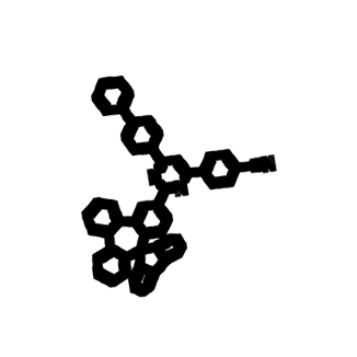 N#Cc1ccc(-c2cc(-c3ccc(-c4ccccc4)cc3)nc(-c3ccc4c(c3)-c3ccccc3-c3ccccc3C43c4ccccc4-c4ccccc43)n2)cc1